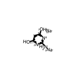 Nc1nc(O)cc(O)n1.[Na].[Na]